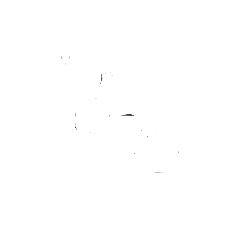 COC(=O)[C@@H]1OC(=O)C[C@@H]1C(=O)N1CCOCC1